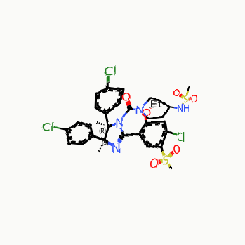 CCOc1cc(Cl)c(S(C)(=O)=O)cc1C1=N[C@@](C)(c2ccc(Cl)cc2)[C@@](C)(c2ccc(Cl)cc2)N1C(=O)N1CCC(NS(C)(=O)=O)CC1